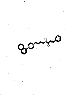 O=C(/C=C/c1cccnc1)NCCCCN1CCN(c2cccc3c2CCCC3)CC1